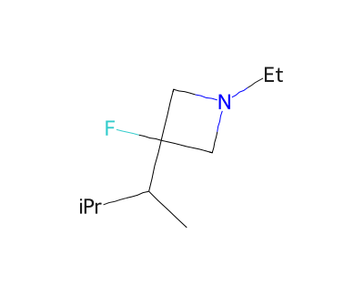 CCN1CC(F)(C(C)C(C)C)C1